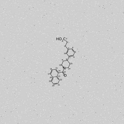 O=C(O)CCc1cccc(C2CCN(C(=O)c3cccc4ccccc34)CC2)c1